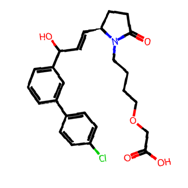 O=C(O)COCCCCN1C(=O)CC[C@@H]1C=CC(O)c1cccc(-c2ccc(Cl)cc2)c1